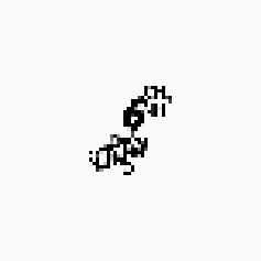 Cc1cc2ccc(-n3nnn(C(=O)N4CCOCC4)c3=O)cc2[nH]1